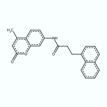 Cc1cc(=O)oc2cc(NC(=O)CCc3cccc4ccccc34)ccc12